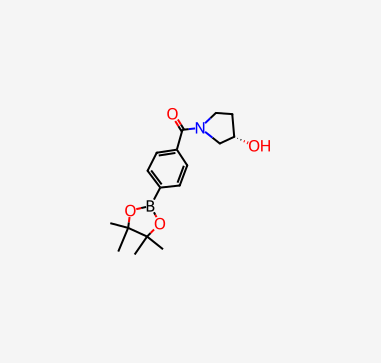 CC1(C)OB(c2ccc(C(=O)N3CC[C@H](O)C3)cc2)OC1(C)C